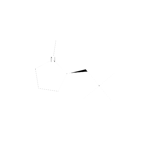 CN1CCC[C@@H]1CC(C)(C)C